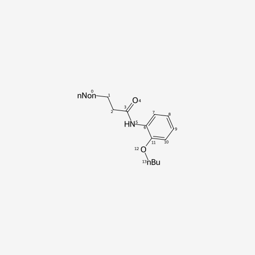 CCCCCCCCCCCC(=O)Nc1ccccc1OCCCC